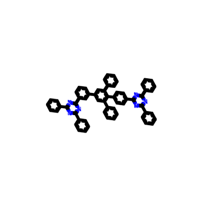 c1ccc(-c2nc(-c3ccccc3)nc(-c3ccc(-c4c(-c5ccccc5)cc(-c5cccc(-c6nc(-c7ccccc7)nc(-c7ccccc7)n6)c5)cc4-c4ccccc4)cc3)n2)cc1